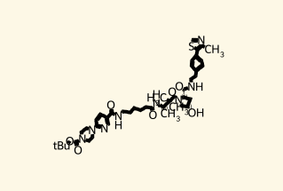 Cc1ncsc1-c1ccc(CCNC(=O)[C@@H]2C[C@@H](O)CN2C(=O)C(C)(C)[C@H](C)NC(=O)CCCCCNC(=O)c2ccc(N3CCN(C(=O)OC(C)(C)C)CC3)nc2)cc1